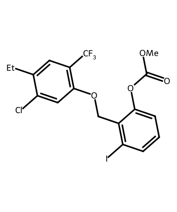 CCc1cc(C(F)(F)F)c(OCc2c(I)cccc2OC(=O)OC)cc1Cl